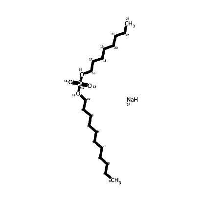 CCCCCCCCCCCOS(=O)(=O)OCCCCCCCC.[NaH]